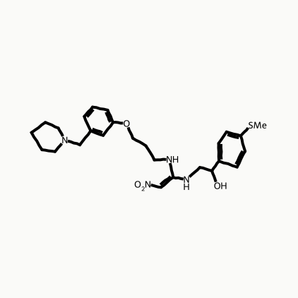 CSc1ccc(C(O)CNC(=C[N+](=O)[O-])NCCCOc2cccc(CN3CCCCC3)c2)cc1